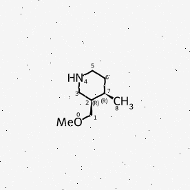 COC[C@H]1CNCC[C@H]1C